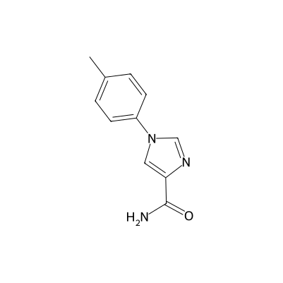 Cc1ccc(-n2cnc(C(N)=O)c2)cc1